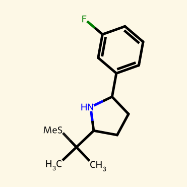 CSC(C)(C)C1CCC(c2cccc(F)c2)N1